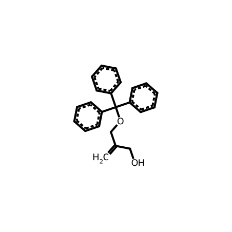 C=C(CO)COC(c1ccccc1)(c1ccccc1)c1ccccc1